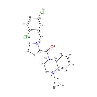 O=C(C1CCCN1Cc1cc(Cl)ccc1Cl)N1CCN(C2CC2)c2ccccc21